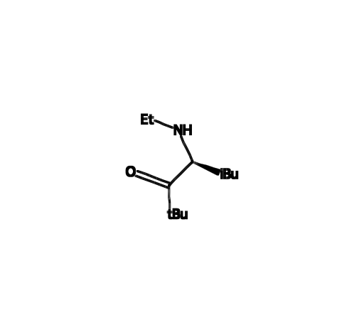 CCN[C@H](C(=O)C(C)(C)C)C(C)CC